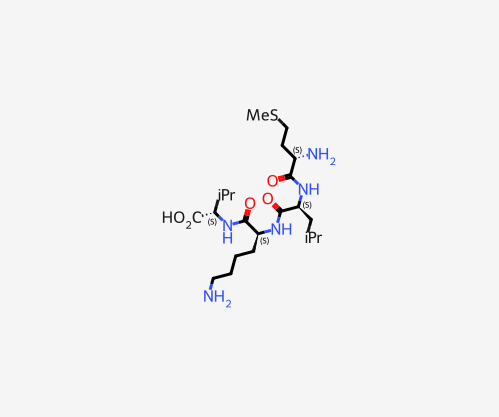 CSCC[C@H](N)C(=O)N[C@@H](CC(C)C)C(=O)N[C@@H](CCCCN)C(=O)N[C@H](C(=O)O)C(C)C